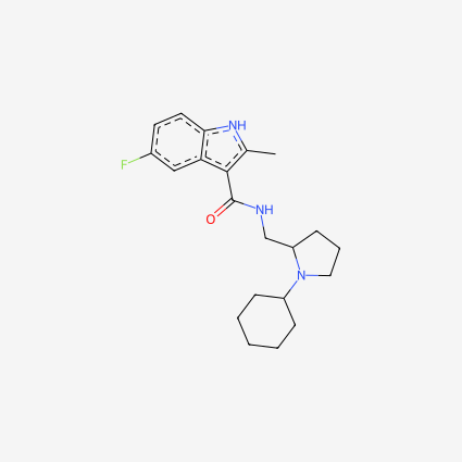 Cc1[nH]c2ccc(F)cc2c1C(=O)NCC1CCCN1C1CCCCC1